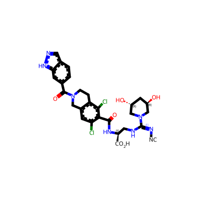 [C-]#[N+]/N=C(\NC[C@H](NC(=O)c1c(Cl)cc2c(c1Cl)CCN(C(=O)c1ccc3cn[nH]c3c1)C2)C(=O)O)N1C[C@H](O)C[C@@H](O)C1